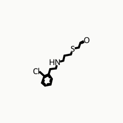 O=CCSCCCNCCc1ccccc1Cl